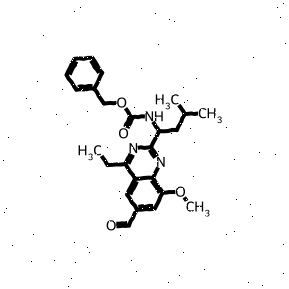 CCc1nc(C(CC(C)C)NC(=O)OCc2ccccc2)nc2c(OC)cc(C=O)cc12